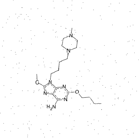 CCCCOc1nc(N)c2nc(OC)n(CCCCN3CCN(C)CC3)c2n1